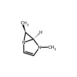 C[C@H]1[C@H]2N(C)C=CN12